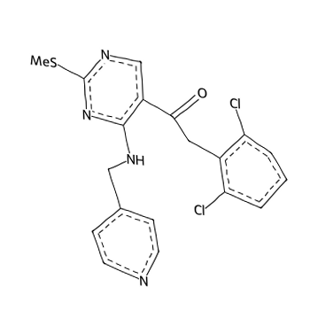 CSc1ncc(C(=O)Cc2c(Cl)cccc2Cl)c(NCc2ccncc2)n1